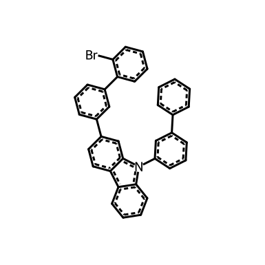 Brc1ccccc1-c1cccc(-c2ccc3c4ccccc4n(-c4cccc(-c5ccccc5)c4)c3c2)c1